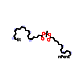 CC/C=C\C/C=C\C/C=C\C/C=C\C/C=C\CCCC(=O)OC(C)(C)OC(=O)CCCC/C=C\C/C=C\C/C=C\CCCCC